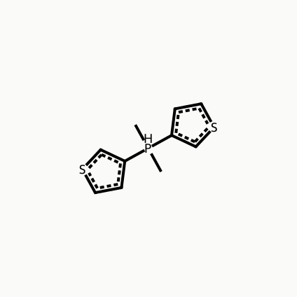 C[PH](C)(c1ccsc1)c1ccsc1